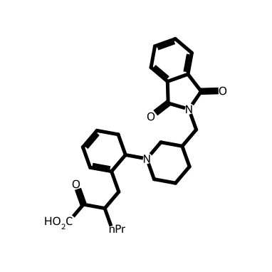 CCCC(CC1=CC=CCC1N1CCCC(CN2C(=O)c3ccccc3C2=O)C1)C(=O)C(=O)O